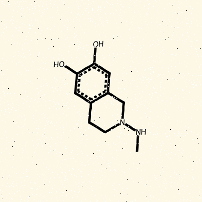 CNN1CCc2cc(O)c(O)cc2C1